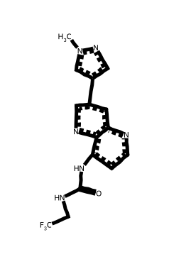 Cn1cc(-c2cnc3c(NC(=O)NCC(F)(F)F)ccnc3c2)cn1